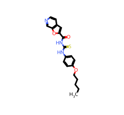 CCCCCOc1ccc(NC(=S)NC(=O)c2cc3ccncc3o2)cc1